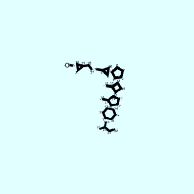 C1CCCC1.C[O].[CH2]C1CC1.[CH2]C1CCC1.[CH2]C1CCCC1.[CH2]CC(C)C.[CH2]CC1CC1.[CH]1CCCCC1